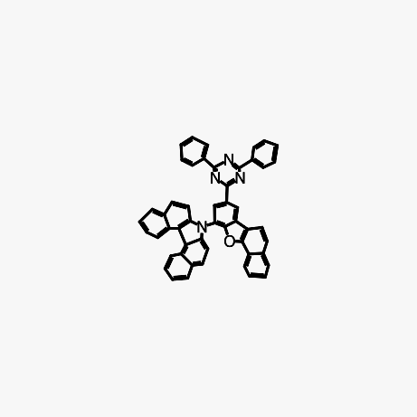 c1ccc(-c2nc(-c3ccccc3)nc(-c3cc(-n4c5ccc6ccccc6c5c5c6ccccc6ccc54)c4oc5c6ccccc6ccc5c4c3)n2)cc1